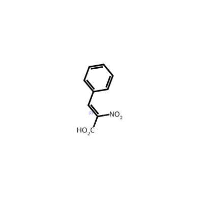 O=C(O)/C(=C/c1ccccc1)[N+](=O)[O-]